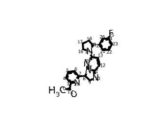 CC(=O)c1cccc(C2CN=C3C=CC(N4CCC[C@@H]4c4cccc(F)c4)=NN32)n1